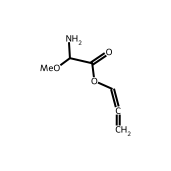 C=C=COC(=O)C(N)OC